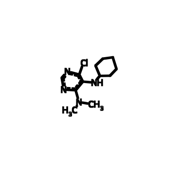 CN(C)c1ncnc(Cl)c1NC1CCCCC1